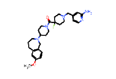 COc1ccc2c(c1)CCCN(C1CCN(C(=O)C3(F)CCN(Cc4ccnc(N)c4)CC3)CC1)C2